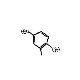 Cc1cc(C(C)(C)C)c[c]c1O